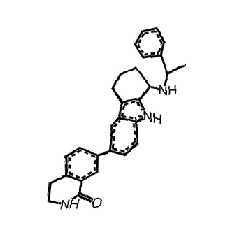 CC(NC1CCCc2c1[nH]c1ccc(-c3ccc4c(c3)C(=O)NCC4)cc21)c1ccccc1